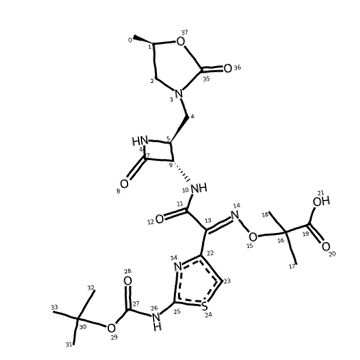 C[C@@H]1CN(C[C@@H]2NC(=O)[C@H]2NC(=O)C(=NOC(C)(C)C(=O)O)c2csc(NC(=O)OC(C)(C)C)n2)C(=O)O1